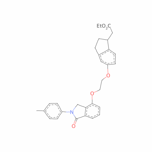 CCOC(=O)CC1CCc2cc(OCCOc3cccc4c3CN(c3ccc(C)cc3)C4=O)ccc21